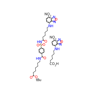 CC(C)(C)OC(=O)CCCCCCNC(=O)c1ccc(S(=O)(=O)NC(=O)CCCCCNc2ccc([N+](=O)[O-])c3nonc23)cc1.O=C(O)CCCCCNc1ccc([N+](=O)[O-])c2nonc12